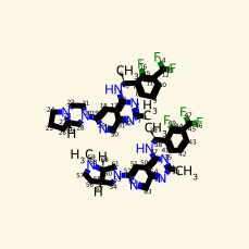 Cc1nc(N[C@H](C)c2cccc(C(F)F)c2F)c2cc(N3CCN4CCC[C@H]4C3)ncc2n1.Cc1nc(N[C@H](C)c2cccc(C(F)F)c2F)c2cc(N3C[C@H]4CCN(C)[C@H]4C3)ncc2n1